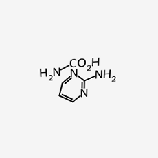 NC(=O)O.Nc1ncccn1